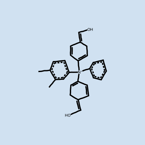 Cc1ccc([N+](C2=CCC(=CO)C=C2)(C2=CCC(=CO)C=C2)c2ccccc2)cc1C